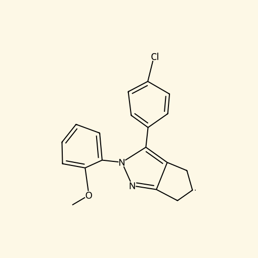 COc1ccccc1-n1nc2c(c1-c1ccc(Cl)cc1)C[CH]C2